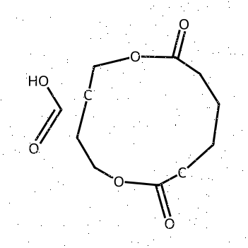 O=C1CCCCC(=O)OCCCCO1.O=CO